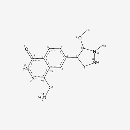 COC1C(c2ccc3c(=O)[nH]nc(CN)c3c2)CNN1C